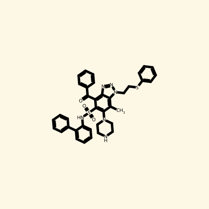 Cc1c(N2CCNCC2)c(S(=O)(=O)Nc2ccccc2-c2ccccc2)c(C(=O)c2ccccc2)c2nnn(CCSc3ccccc3)c12